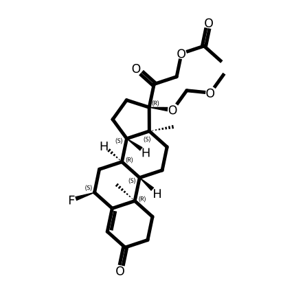 COCO[C@]1(C(=O)COC(C)=O)CC[C@H]2[C@@H]3C[C@H](F)C4=CC(=O)CC[C@]4(C)[C@H]3CC[C@@]21C